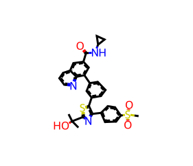 CC(C)(O)c1nc(-c2ccc(S(C)(=O)=O)cc2)c(-c2cccc(-c3cc(C(=O)NC4CC4)cc4cccnc34)c2)s1